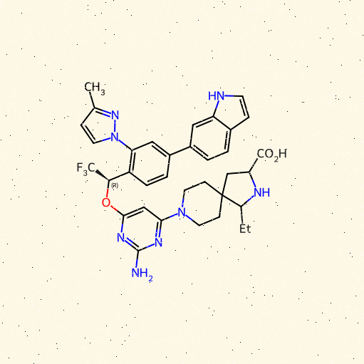 CCC1NC(C(=O)O)CC12CCN(c1cc(O[C@H](c3ccc(-c4ccc5cc[nH]c5c4)cc3-n3ccc(C)n3)C(F)(F)F)nc(N)n1)CC2